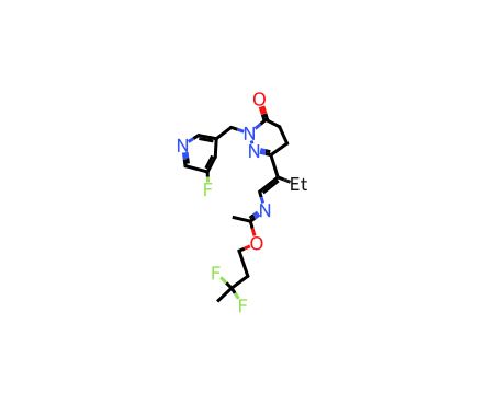 CC/C(=C\N=C(/C)OCCC(C)(F)F)C1=NN(Cc2cncc(F)c2)C(=O)CC1